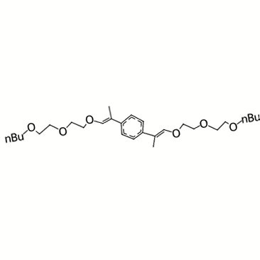 CCCCOCCOCCOC=C(C)c1ccc(C(C)=COCCOCCOCCCC)cc1